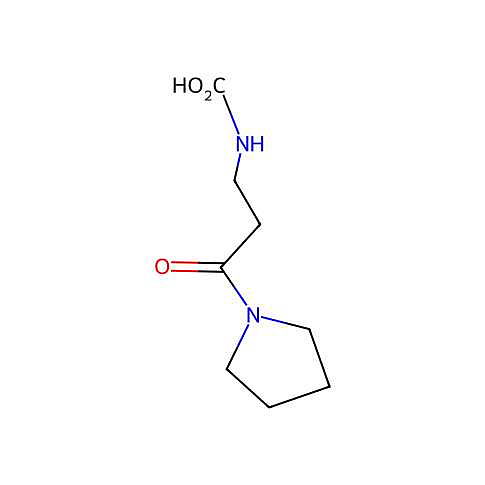 O=C(O)NCCC(=O)N1CCCC1